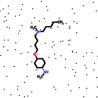 CCCCCN(C)CCCCO[C@H]1CC[C@H](NC)CC1